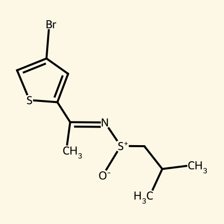 CC(=N[S+]([O-])CC(C)C)c1cc(Br)cs1